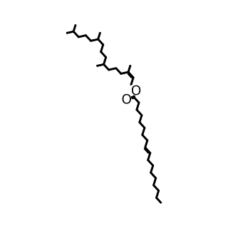 CCCCCCCCC=CCCCCCCCC(=O)OCC=C(C)CCCC(C)CCCC(C)CCCC(C)C